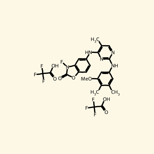 COc1cc(Nc2ncc(C)c(Nc3ccc4oc(=O)n(F)c4c3)n2)cc(C)c1C.O=C(O)C(F)(F)F.O=C(O)C(F)(F)F